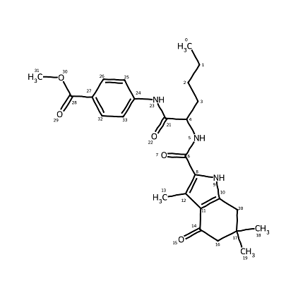 CCCCC(NC(=O)c1[nH]c2c(c1C)C(=O)CC(C)(C)C2)C(=O)Nc1ccc(C(=O)OC)cc1